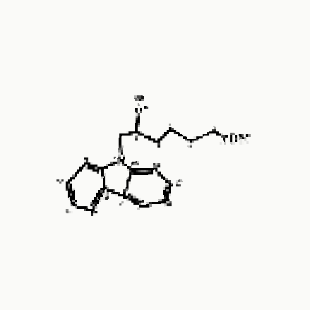 CCCCCCCCCCCCCCC(Cn1c2ccccc2c2ccccc21)C(C)=O